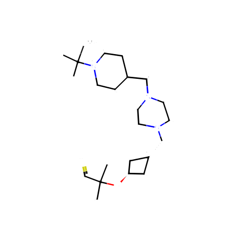 CSC(C)(C)N1CCC(CN2CCN(C[C@H]3C[C@H](OC(C)(C)C=S)C3)CC2)CC1